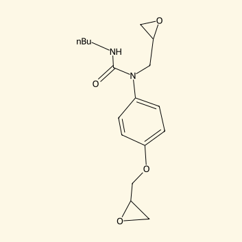 CCCCNC(=O)N(CC1CO1)c1ccc(OCC2CO2)cc1